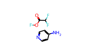 Nc1ccncc1.O=C(OF)C(F)F